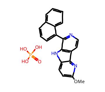 COc1ccc2[nH]c3c(-c4cccc5ccccc45)nccc3c2n1.O=P(O)(O)O